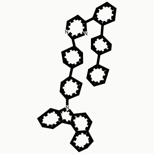 c1ccc(-c2ccc(-c3ccccc3-c3ccnc(-c4ccc(-c5ccc(-n6c7ccccc7c7c8ccccc8ccc76)cc5)cc4)n3)cc2)cc1